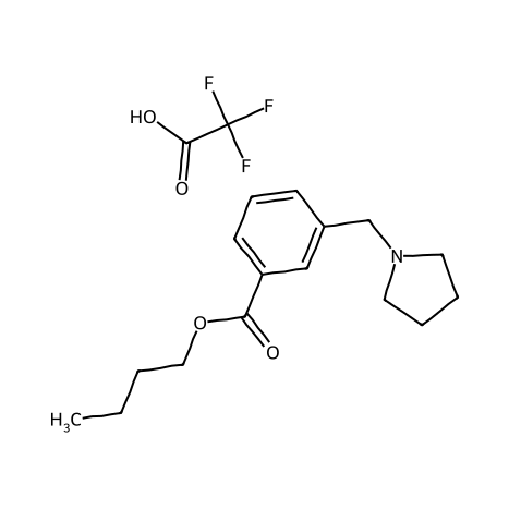 CCCCOC(=O)c1cccc(CN2CCCC2)c1.O=C(O)C(F)(F)F